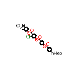 CCCCCCc1ccc(C(=O)Oc2ccc(C(=O)Oc3ccc(C(=O)Oc4ccc([N+](=O)[O-])c(C)c4)c(Cl)c3)cc2)cc1